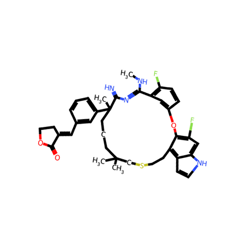 CN/C1=N\C(=N)C(C)(c2cccc(/C=C3\CCOC3=O)c2)CCCC(C)(C)CSCCc2c(c(F)cc3[nH]ccc23)Oc2ccc(F)c1c2